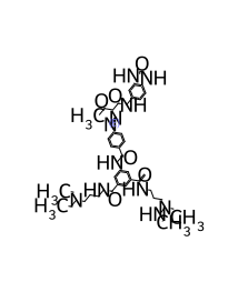 CCN(CC)CCCNC(=O)c1cc(NC(=O)c2ccc(/N=N/C(C(C)=O)C(=O)Nc3ccc4[nH]c(=O)[nH]c4c3)cc2)cc(C(=O)NCCCN(CC)NC)c1